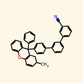 CC1C=CC2=C(C1)C(c1ccccc1)(c1ccc(-c3cccc(-c4cccc(C#N)c4)c3)cc1)c1ccccc1O2